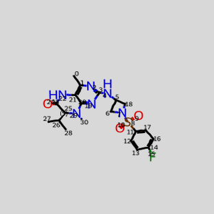 Cc1nc(NC2CN(S(=O)(=O)c3ccc(F)cc3)C2)nc2c1NC(=O)[C@H](C(C)C)N2C